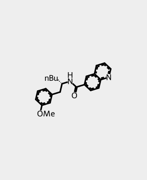 CCCC[C@@H](Cc1cccc(OC)c1)NC(=O)c1ccc2ncccc2c1